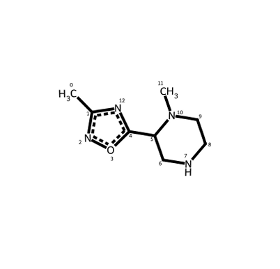 Cc1noc(C2CNCCN2C)n1